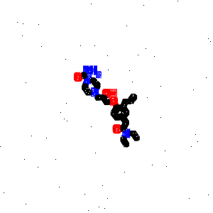 C=CCc1cc(CC(=O)N(CC)CC)ccc1OCC(O)CN1CCN(C(N)=O)CC1